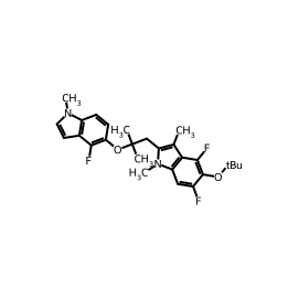 Cc1c(CC(C)(C)Oc2ccc3c(ccn3C)c2F)n(C)c2cc(F)c(OC(C)(C)C)c(F)c12